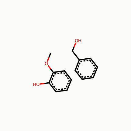 COc1ccccc1O.OCc1ccccc1